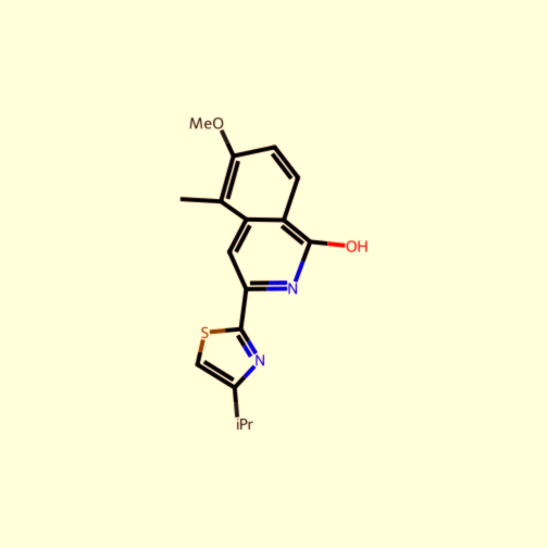 COc1ccc2c(O)nc(-c3nc(C(C)C)cs3)cc2c1C